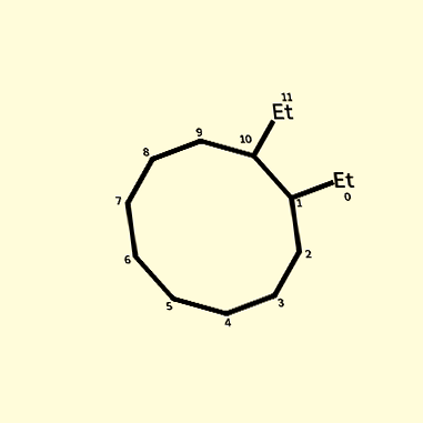 CCC1CCCCCCCCC1CC